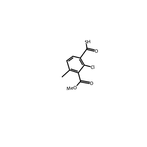 COC(=O)c1c(C)ccc(C(=O)S)c1Cl